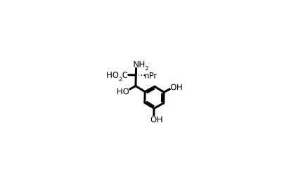 CCC[C@@](N)(C(=O)O)C(O)c1cc(O)cc(O)c1